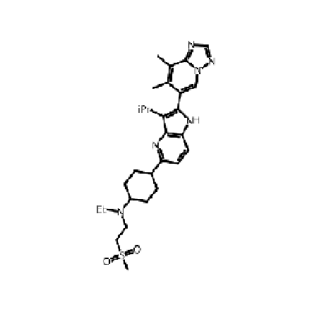 CCN(CCS(C)(=O)=O)C1CCC(c2ccc3[nH]c(-c4cn5ncnc5c(C)c4C)c(C(C)C)c3n2)CC1